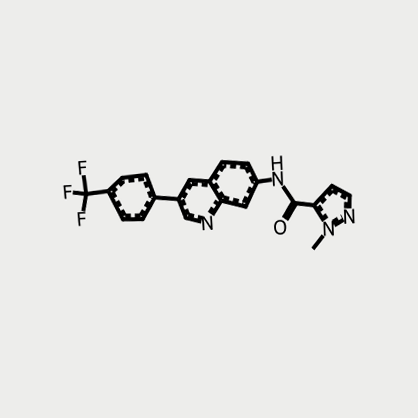 Cn1nccc1C(=O)Nc1ccc2cc(-c3ccc(C(F)(F)F)cc3)cnc2c1